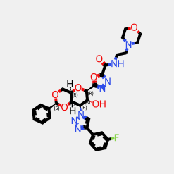 O=C(NCCN1CCOCC1)c1nnc([C@@H]2O[C@@H]3CO[C@H](c4ccccc4)O[C@@H]3[C@H](n3cc(-c4cccc(F)c4)nn3)[C@H]2O)o1